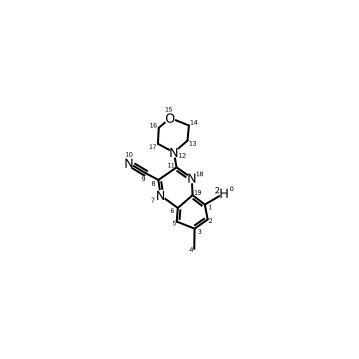 [2H]c1cc(C)cc2nc(C#N)c(N3CCOCC3)nc12